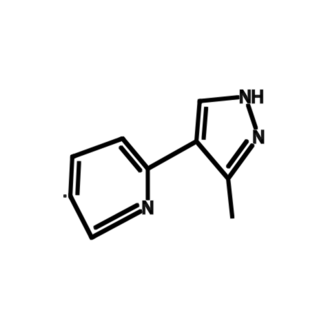 Cc1n[nH]cc1-c1cc[c]cn1